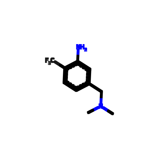 CN(C)Cc1ccc(C(F)(F)F)c(N)c1